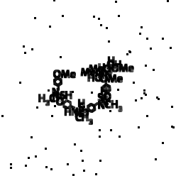 COc1ccc(/C=N/N(C)P(S)OC2C=CC(CNN(C)[PH](=S)Oc3ccc(/C=N/N(C)[PH](=S)Oc4ccc(CCN(C[PH](O)(OC)OC)C[PH](O)(OC)OC)cc4)cc3)CC2)cc1